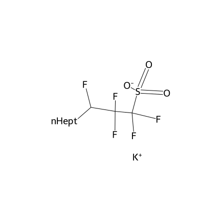 CCCCCCCC(F)C(F)(F)C(F)(F)S(=O)(=O)[O-].[K+]